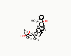 C[C@H](CCC(=O)C(C)(C)O)[C@H]1CC[C@H]2[C@@H]3CC[C@@H]4C[C@@](O)(c5ccccc5C(=O)O)CC[C@]4(C)[C@H]3CC[C@]12C